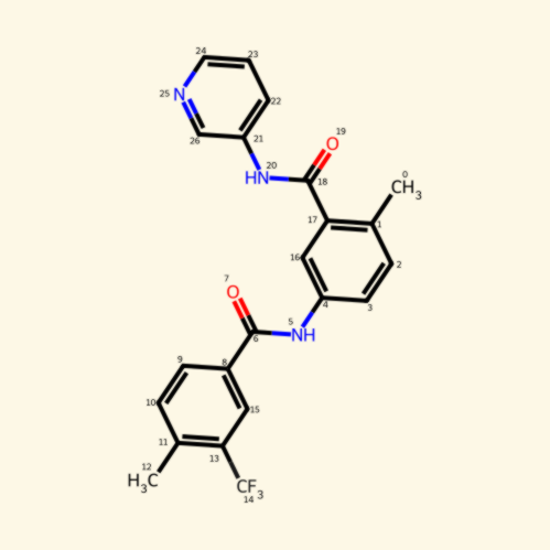 Cc1ccc(NC(=O)c2ccc(C)c(C(F)(F)F)c2)cc1C(=O)Nc1cccnc1